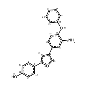 Nc1cc(-c2noc(-c3ccc(O)cc3)n2)ccc1Oc1ccccc1